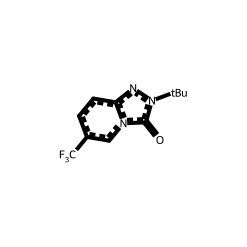 CC(C)(C)n1nc2ccc(C(F)(F)F)cn2c1=O